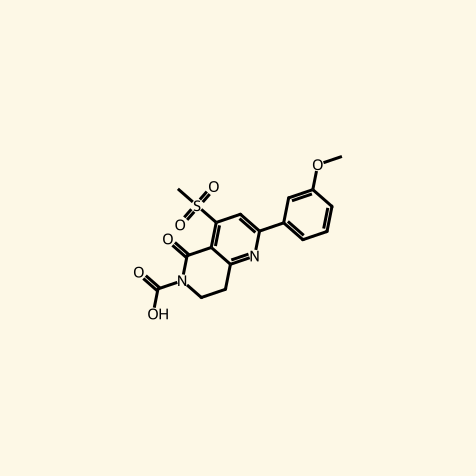 COc1cccc(-c2cc(S(C)(=O)=O)c3c(n2)CCN(C(=O)O)C3=O)c1